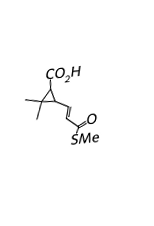 CSC(=O)C=CC1C(C(=O)O)C1(C)C